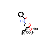 CC(C)C[C@@H](C(=O)O)[C@H](CCNC(=O)c1ccccc1)C(=O)OC(C)(C)C